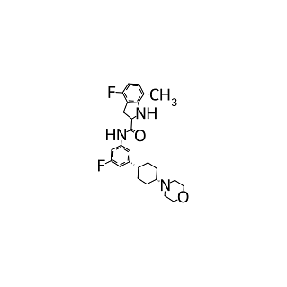 Cc1ccc(F)c2c1NC(C(=O)Nc1cc(F)cc([C@H]3CC[C@@H](N4CCOCC4)CC3)c1)C2